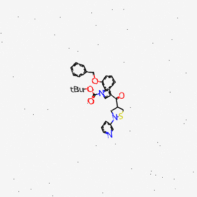 CC(C)(C)OC(=O)n1cc(C(=O)C2CSN(c3cccnc3)C2)c2cccc(OCc3ccccc3)c21